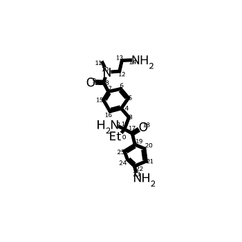 CCC(N)(Cc1ccc(C(=O)N(C)CCN)cc1)C(=O)c1ccc(N)cc1